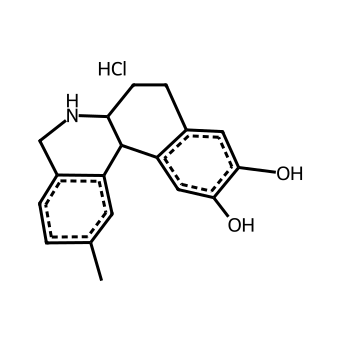 Cc1ccc2c(c1)C1c3cc(O)c(O)cc3CCC1NC2.Cl